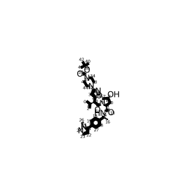 CC(C)[C@H](C(=O)N1C[C@H](O)C[C@H]1C(=O)N[C@@H](C)c1ccc(-c2ccnn2C)cc1)c1cc(N2CCN(C(=O)OC(C)(C)C)CC2)no1